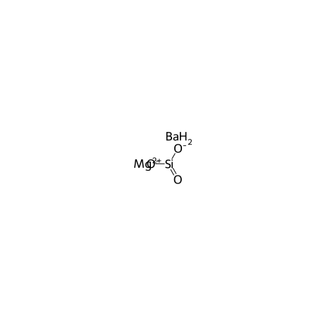 O=[Si]([O-])[O-].[BaH2].[Mg+2]